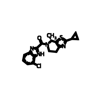 C[C@@H]1c2sc(C3CC3)nc2CCN1C(=O)c1nc2cccc(Cl)c2[nH]1